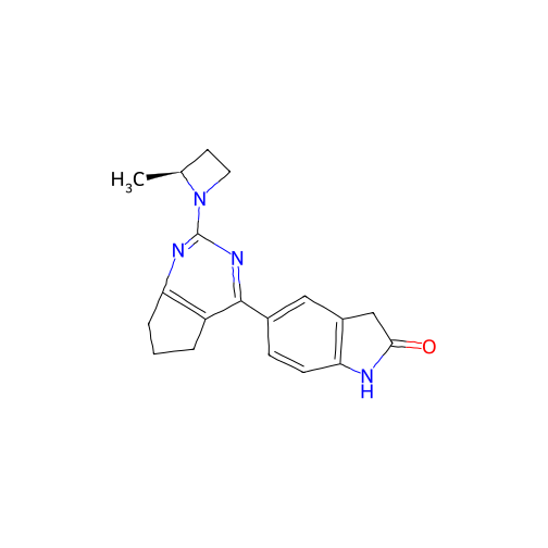 C[C@H]1CCN1c1nc2c(c(-c3ccc4c(c3)CC(=O)N4)n1)CCC2